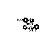 COc1cccc(F)c1-c1noc([C@@H]2CCCN2C(=O)c2cc(C)ccc2-n2nccn2)n1